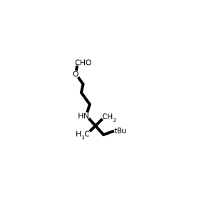 CC(C)(C)CC(C)(C)NCCCOC=O